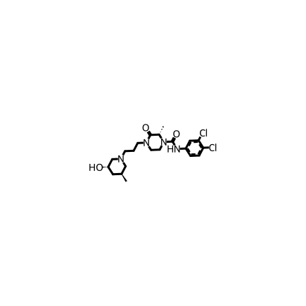 C[C@H]1C[C@H](O)CN(CCCN2CCN(C(=O)Nc3ccc(Cl)c(Cl)c3)[C@@H](C)C2=O)C1